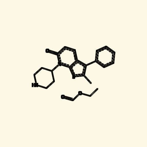 CCOC=O.Cc1sc2c(ccc(=O)n2C2CCNCC2)c1-c1ccccc1